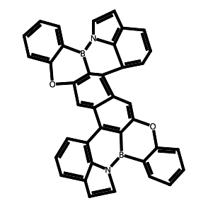 c1ccc2c(c1)Oc1cc3c4c5c(cc3c3c1B2n1ccc2cccc-3c21)Oc1ccccc1B5n1ccc2cccc-4c21